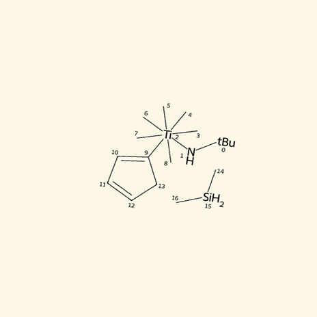 CC(C)(C)[NH][Ti]([CH3])([CH3])([CH3])([CH3])([CH3])([CH3])[C]1=CC=CC1.C[SiH2]C